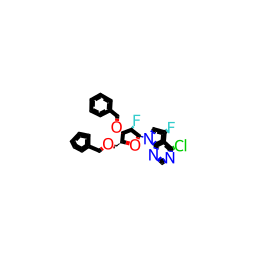 Fc1cn([C@@H]2O[C@H](COCc3ccccc3)[C@@H](OCc3ccccc3)[C@H]2F)c2ncnc(Cl)c12